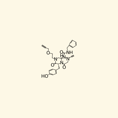 C#CCOCCN1C[C@H]2N(C(=O)CN(C#C)N2C(=O)NCc2ccccc2)[C@@H](Cc2ccc(O)cc2)C1=O